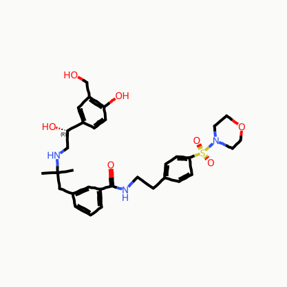 CC(C)(Cc1cccc(C(=O)NCCc2ccc(S(=O)(=O)N3CCOCC3)cc2)c1)NC[C@H](O)c1ccc(O)c(CO)c1